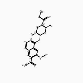 CC(C)Oc1cc2c(O[C@H]3C[C@H](C)N(C(=O)CC#N)C[C@@H]3C)nccc2cc1C(N)=O